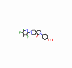 Cc1c(F)c(F)nc(N2CCC3(CC2)CCN(C2CCC(O)CC2)C3=O)c1F